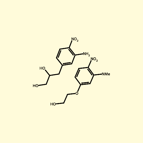 CNc1cc(OCCO)ccc1[N+](=O)[O-].Nc1cc(CC(O)CO)ccc1[N+](=O)[O-]